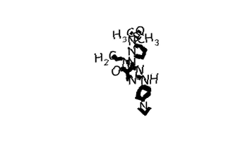 C=CCn1c(=O)c2cnc(Nc3ccc(N4CCC4)cc3)nc2n1-c1cccc(N=S(C)(C)=O)n1